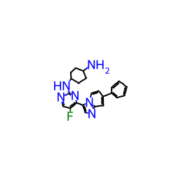 NC1CCC(Nc2ncc(F)c(-c3cnc4cc(-c5ccccc5)ccn34)n2)CC1